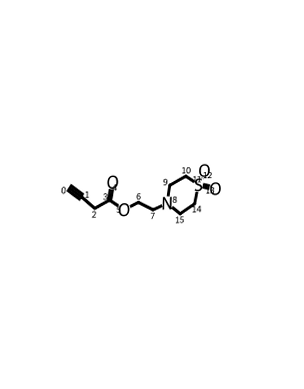 C#CCC(=O)OCCN1CCS(=O)(=O)CC1